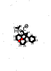 CC(C)NC(=C=O)C1(c2ccccc2)CC1(c1ccccc1)c1ccccc1